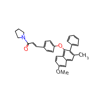 COc1ccc2c(Oc3ccc(C=CC(=O)N4CCCC4)cc3)c(-c3ccccc3)c(C)cc2c1